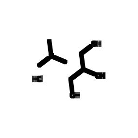 CN(C)C.Cl.OCC(O)CO